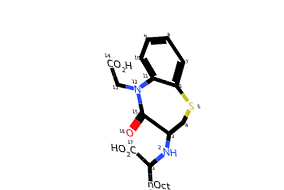 CCCCCCCCC(NC1CSc2ccccc2N(CC(=O)O)C1=O)C(=O)O